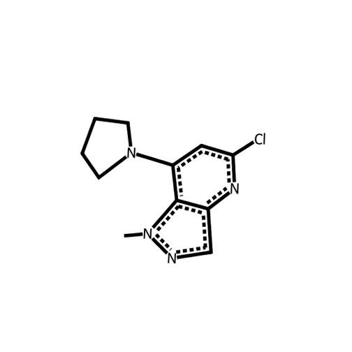 Cn1ncc2nc(Cl)cc(N3CCCC3)c21